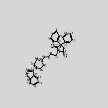 O=C1CC(c2ccccc2)(c2ccccc2)C(=O)N1CCCCN1CCN(c2nsc3ccccc23)CC1